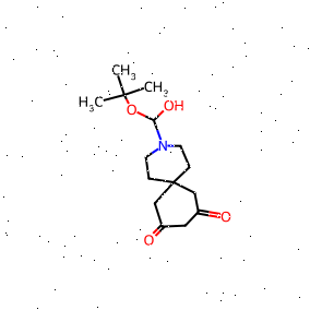 CC(C)(C)OC(O)N1CCC2(CC1)CC(=O)CC(=O)C2